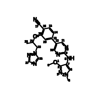 COc1nn(C)cc1Nc1ncc(-c2ccc(C#N)c(OC(C)Cn3cncn3)c2)cn1